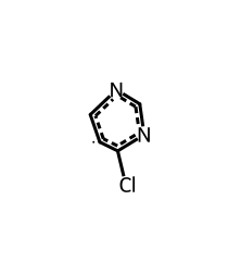 Clc1[c]cncn1